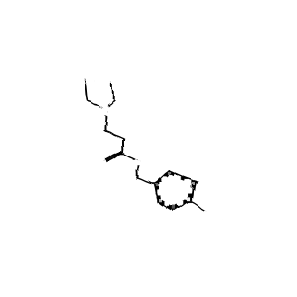 CCN(CC)CCC(=O)NCc1ccc(C)cc1